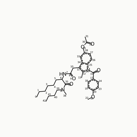 CCCCCCC(NC(=O)Cc1c(C)n(C(=O)c2ccc(OC)cc2)c2ccc(OC(C)=O)cc12)C(=O)N(C)CCCC